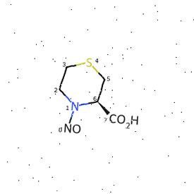 O=NN1CCSC[C@H]1C(=O)O